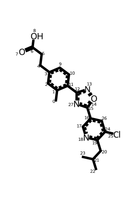 Cc1cc(CCC(=O)O)ccc1-c1noc(-c2cnc(CC(C)C)c(Cl)c2)n1